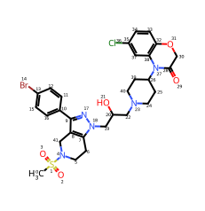 CS(=O)(=O)N1CCc2c(c(-c3ccc(Br)cc3)nn2CC(O)CN2CCC(N3C(=O)COc4ccc(Cl)cc43)CC2)C1